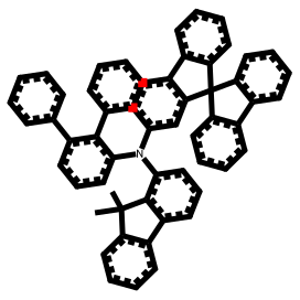 CC1(C)c2ccccc2-c2cccc(N(c3ccc4c(c3)C3(c5ccccc5-c5ccccc53)c3ccccc3-4)c3cccc(-c4ccccc4)c3-c3ccccc3)c21